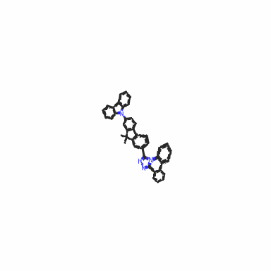 CC1(C)c2cc(-c3nnc4c5ccccc5c5ccccc5n34)ccc2-c2ccc(-n3c4ccccc4c4ccccc43)cc21